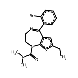 CCc1cc2c(s1)N(C(=O)N(C)C)CCN=C2c1ccccc1Br